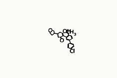 Cc1ccc(-c2ccc(Cl)cc2)cc1C1=C(O)CC(C2CCOC2)CC1=O